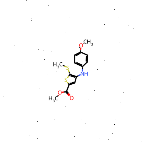 COC(=O)c1cc(Nc2ccc(OC)cc2)c(SC)s1